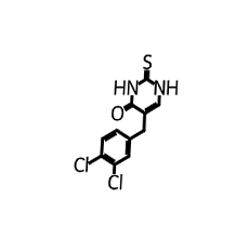 O=c1[nH]c(=S)[nH]cc1Cc1ccc(Cl)c(Cl)c1